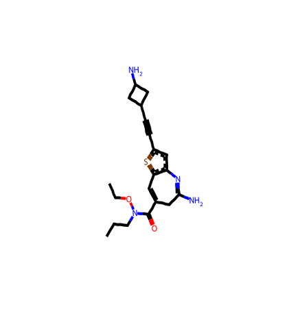 CCCN(OCC)C(=O)C1=Cc2sc(C#CC3CC(N)C3)cc2N=C(N)C1